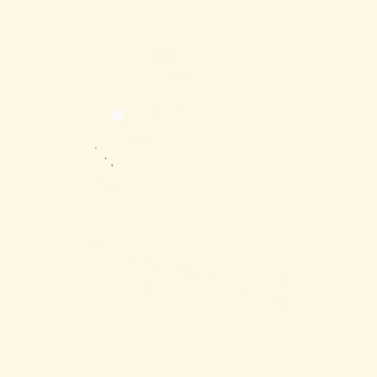 C=C1/C(=C\C2=CC(C)(C)c3ccccc32)C(C)(CC)C(C)(CC)[n+]2cc(-c3cccc(-c4cccc(C5=CC(c6cccc(-c7ccccc7)c6)CC=C5)c4)c3)ccc21